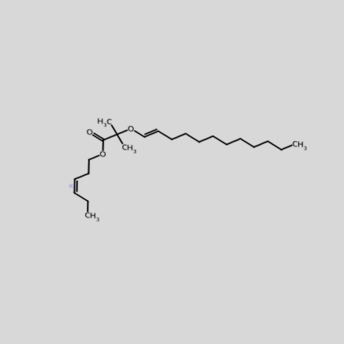 CC/C=C\CCOC(=O)C(C)(C)OC=CCCCCCCCCCC